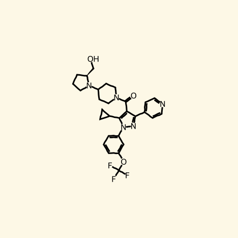 O=C(c1c(-c2ccncc2)nn(-c2cccc(OC(F)(F)F)c2)c1C1CC1)N1CCC(N2CCC[C@H]2CO)CC1